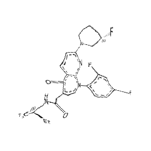 CC[C@H](NC(=O)c1cn(-c2ccc(F)cc2F)c2nc(N3CC[C@H](F)C3)ccc2c1=O)C(F)(F)F